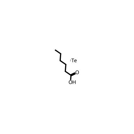 CCCCCC(=O)O.[Te]